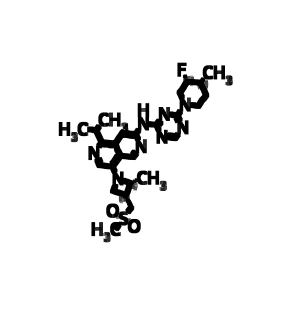 CC(C)c1ncc(N2C[C@H](CS(C)(=O)=O)[C@H]2C)c2cnc(Nc3ncnc(N4CC[C@H](C)[C@@H](F)C4)n3)cc12